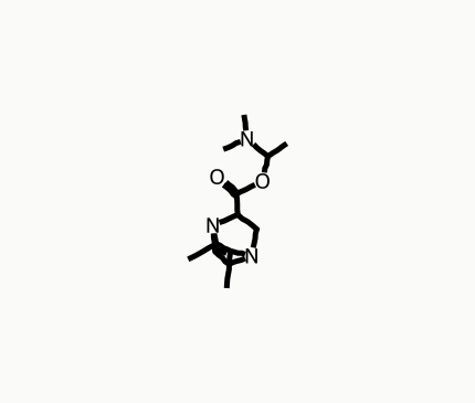 CC1=C(C)N2CCN1CC2C(=O)OC(C)N(C)C